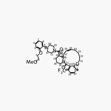 COCCOc1ccccc1N1CCN(C(=O)C2CCCN3C(=O)c4c(C(F)(F)F)ccnc4OCCCCC=CC[C@H]23)CC1